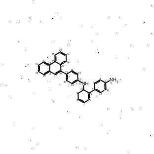 Nc1ccc(C2=CC=CCC2Nc2ccc(-c3cc4ccccc4c4ccccc34)cc2)cc1